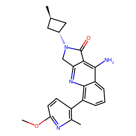 COc1ccc(-c2cccc3c(N)c4c(nc23)CN([C@H]2C[C@H](C)C2)C4=O)c(C)n1